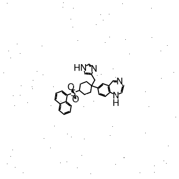 O=S(=O)(c1cccc2ccccc12)C1CCC(Cc2c[nH]cn2)(c2ccc3c(c2)C=NC=CN3)CC1